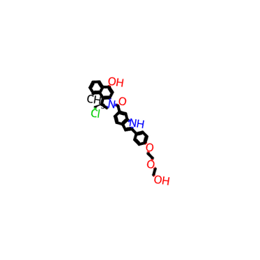 Cc1cccc2c(O)cc3c(c12)[C@H](CCl)CN3C(=O)c1ccc2cc(-c3ccc(OCCOCCO)cc3)[nH]c2c1